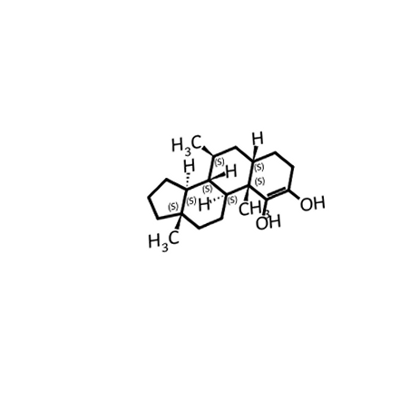 C[C@H]1C[C@@H]2CCC(O)=C(O)[C@]2(C)[C@H]2CC[C@]3(C)CCC[C@H]3[C@H]12